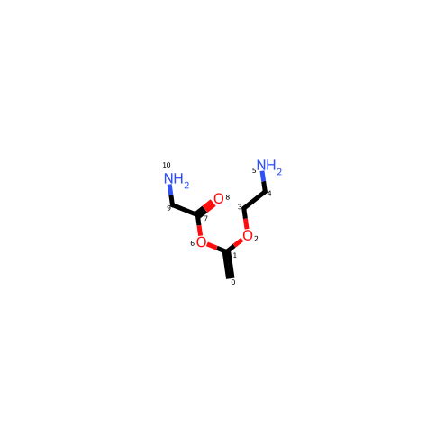 C=C(OCCN)OC(=O)CN